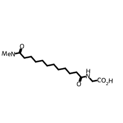 CNC(=O)CCCCCCCCCCC(=O)NCC(=O)O